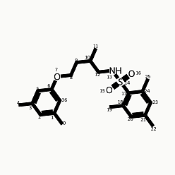 Cc1cc(C)cc(OCCC(C)CNS(=O)(=O)c2c(C)cc(C)cc2C)c1